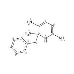 NC1=CN=C(N)NC1(N)Cc1ccccc1